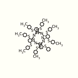 Cc1ccc(Sc2ccc(Sc3ccc(C)cc3)c3c2-c2nc-3nc3[nH]c(nc4nc(nc5[nH]c(n2)c2c(Sc6ccccc6)ccc(Sc6ccc(C)cc6)c52)-c2c(Sc5ccc(C)cc5)ccc(Sc5ccc(C)cc5)c2-4)c2c(Sc4ccc(C)cc4)ccc(Sc4ccc(C)cc4)c32)cc1